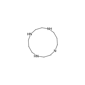 [CH]1CNCCCNCCNCCC[N]1